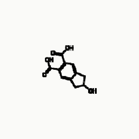 O=C(O)c1cc2c(cc1C(=O)O)CC(O)C2